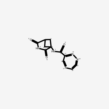 O=C(NC12CC(C1)C(=O)NC2=O)C1=NN=C=CN=C1